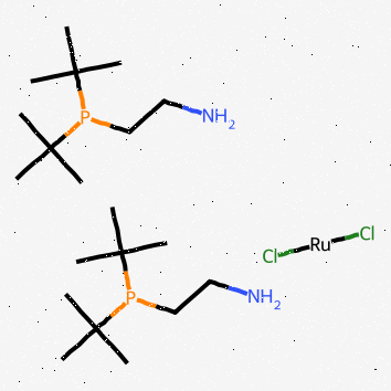 CC(C)(C)P(CCN)C(C)(C)C.CC(C)(C)P(CCN)C(C)(C)C.[Cl][Ru][Cl]